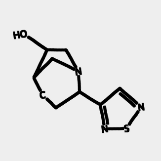 OC1CN2CC1CCC2c1cnsn1